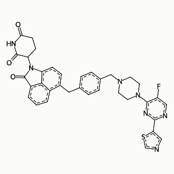 O=C1CCC(N2C(=O)c3cccc4c(Cc5ccc(CN6CCN(c7nc(-c8cncs8)ncc7F)CC6)cc5)ccc2c34)C(=O)N1